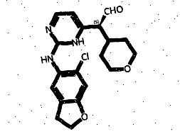 O=C[C@H](C1=CC=NC(Nc2cc3c(cc2Cl)OCC3)N1)C1CCOCC1